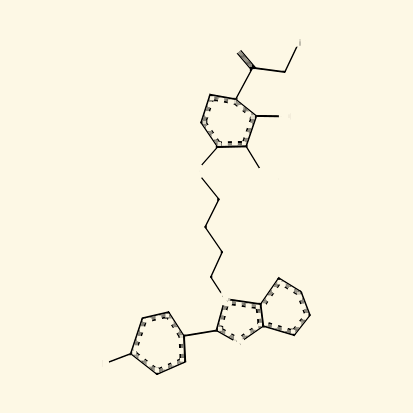 Cc1c(OCCCCn2c(-c3ccc(F)cc3)nc3ccccc32)ccc(C(=O)CC(C)C)c1O